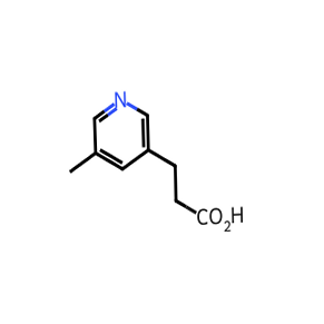 Cc1cncc(CCC(=O)O)c1